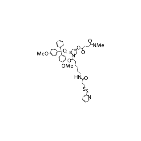 CNC(=O)CCC(=O)O[C@@H]1C[C@@H](COC(c2ccccc2)(c2ccc(OC)cc2)c2ccc(OC)cc2)N(C(=O)CCCCCNC(=O)CCSSc2ccccn2)C1